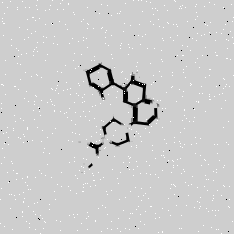 CC(C)(C)OC(=O)N1CCN(c2ccnc3cc(Cl)c(-c4ccccc4Cl)cc23)CC1